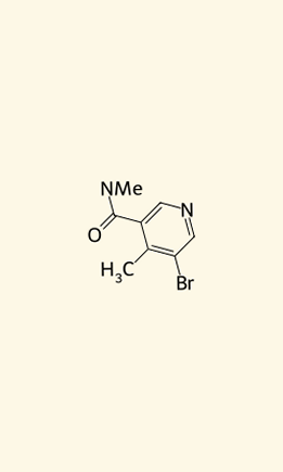 CNC(=O)c1cncc(Br)c1C